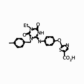 CCn1c(=O)[nH]/c(=N\c2ccc(Oc3ncc(C(=O)O)s3)cc2)n(Cc2ccc(C)cc2)c1=O